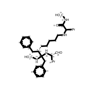 CC(C)C(NCCCCC[C@@H](Cc1ccccc1)C(Cc1ccccc1)(NC(=O)O)N[C@H](C=O)C(C)C)C(=O)NC(=O)O